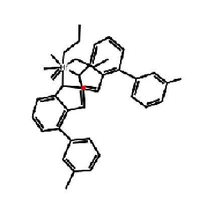 [CH2]=[Hf]([CH3])([CH3])([CH2]CC)([CH2]CC)([CH]1C=Cc2c(-c3cccc(C)c3)cccc21)[CH]1C=Cc2c(-c3cccc(C)c3)cccc21